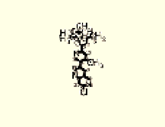 C=CCC(O[Si](C)(C)C(C)(C)C)c1cc(C)c(-c2cnc3cc(Cl)ncc3c2)cn1